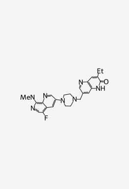 CCc1cc2ncc(CN3CCN(c4cnc5c(NC)ncc(F)c5c4)CC3)cc2[nH]c1=O